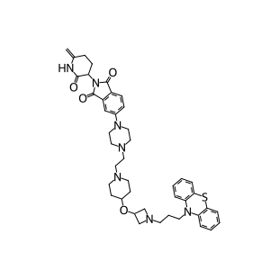 C=C1CCC(N2C(=O)c3ccc(N4CCN(CCN5CCC(OC6CN(CCCN7c8ccccc8Sc8ccccc87)C6)CC5)CC4)cc3C2=O)C(=O)N1